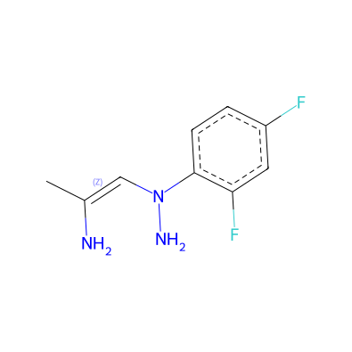 C/C(N)=C/N(N)c1ccc(F)cc1F